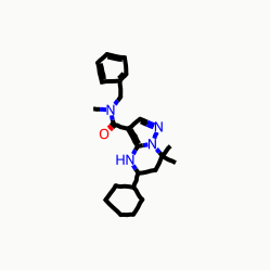 CN(Cc1ccccc1)C(=O)c1cnn2c1NC(C1CCCCC1)CC2(C)C